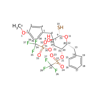 COc1ccc(C[C@]2(O)[C@H](S)O[C@H](Cc3ccccc3)[C@H](OS(=O)(=O)C(F)(F)F)[C@@H]2OS(=O)(=O)C(F)(F)F)cc1